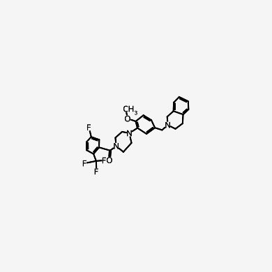 COc1ccc(CN2CCc3ccccc3C2)cc1N1CCN(C(=O)c2cc(F)ccc2C(F)(F)F)CC1